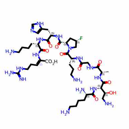 C[C@H](NC(=O)[C@@H](NC(=O)[C@@H](N)CCCCN)[C@@H](O)CN)C(=O)NCC(=O)N[C@H](CCCN)C(=O)N1C[C@@H](F)C[C@H]1C(=O)N[C@@H](Cc1cnc[nH]1)C(=O)N[C@@H](CCCCN)C(=O)N/C(=C\CCNC(=N)N)C(=O)O